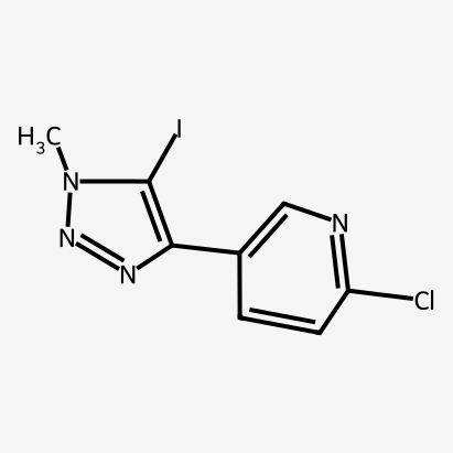 Cn1nnc(-c2ccc(Cl)nc2)c1I